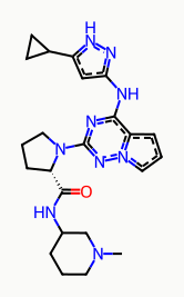 CN1CCCC(NC(=O)[C@@H]2CCCN2c2nc(Nc3cc(C4CC4)[nH]n3)c3cccn3n2)C1